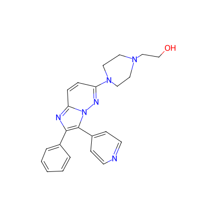 OCCN1CCN(c2ccc3nc(-c4ccccc4)c(-c4ccncc4)n3n2)CC1